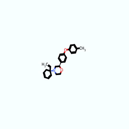 C=C[C@]1(N2CCO[C@H](c3ccc(Oc4ccc(C)cc4)cc3)C2)C=CC=CC1